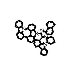 c1ccc(-n2c3ccccc3c3cccc(-c4nc5ccc6ccccc6c5nc4-n4c5cccc6c7cccc8c9ccccc9n(c9cccc4c9c65)c78)c32)cc1